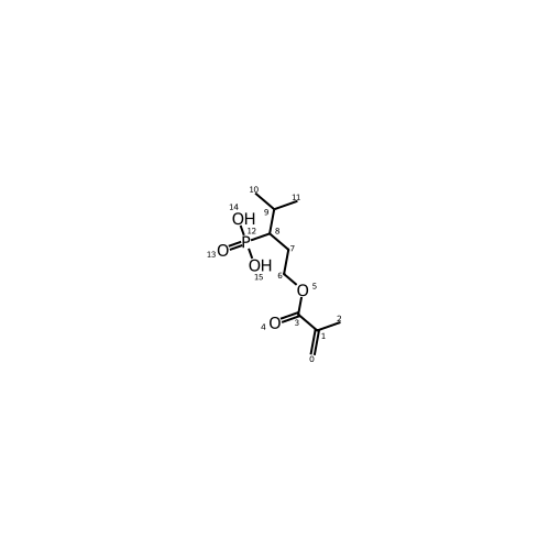 C=C(C)C(=O)OCCC(C(C)C)P(=O)(O)O